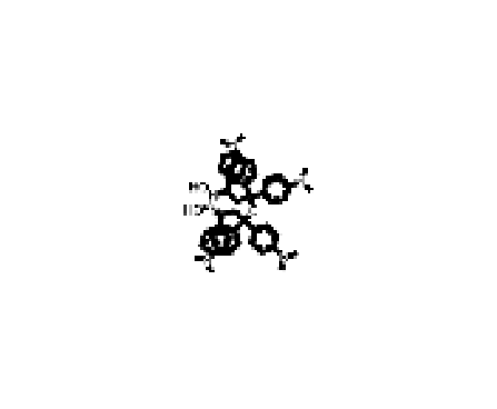 CN(C)c1ccc(C(CC(=NO)c2ccccc2)(OC(CC(=NO)c2ccccc2)(c2ccc(N(C)C)cc2)c2ccc(N(C)C)cc2)c2ccc(N(C)C)cc2)cc1